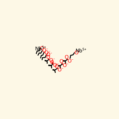 C=C(C)C(=O)[O-].C=C(C)C(=O)[O-].C=C(C)C(=O)[O-].C=C(C)C(=O)[O-].C=C(C)C(=O)[O-].CCCC[O-].CCCC[O-].CCCC[O-].CCCC[O-].CCCC[O-].[Nb+5].[Nb+5]